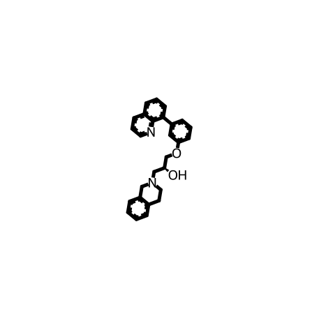 O[C@H](COc1cccc(-c2cccc3cccnc23)c1)CN1CCc2ccccc2C1